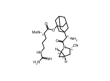 CN[C@@H](CCCNC(=N)N)C(=O)OC12CC3CC(C1)CC([C@H](N)C(=O)N1[C@H](C#N)C[C@@H]4C[C@@H]41)(C3)C2